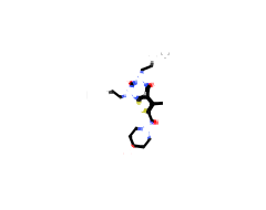 COCCn1c(=O)c2c(C)c(C(=O)N3CCC(O)CC3)sc2n(CCC(F)(F)F)c1=O